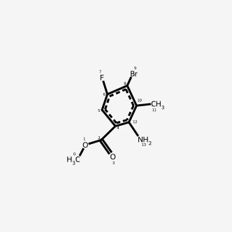 COC(=O)c1cc(F)c(Br)c(C)c1N